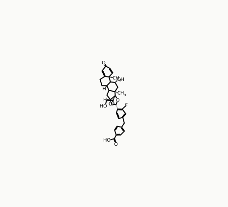 C[C@]12C=CC(=O)C=C1CC[C@@H]1C2[C@@H](O)C[C@@]2(C)C1C[C@H]1O[C@@H](c3ccc(Cc4ccc(C(=O)O)cc4)cc3F)O[C@]12C(=O)CO